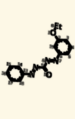 CCOc1cccc(N=NC(=O)N=Nc2ccccc2)c1